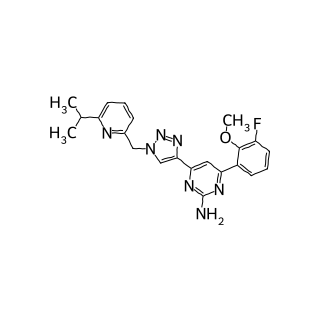 COc1c(F)cccc1-c1cc(-c2cn(Cc3cccc(C(C)C)n3)nn2)nc(N)n1